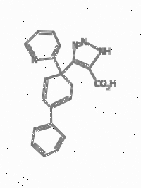 O=C(O)c1[nH]nnc1C1(c2ccccn2)C=CC(c2ccccc2)=CC1